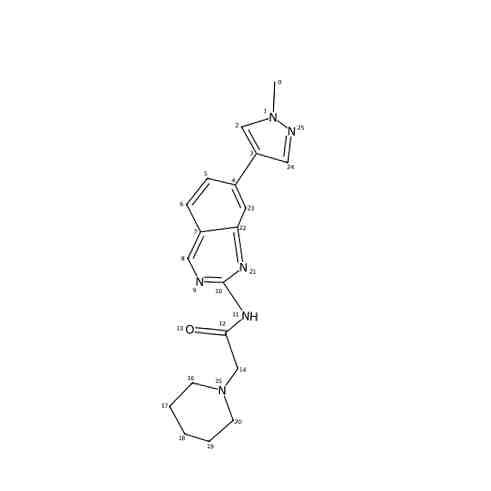 Cn1cc(-c2ccc3cnc(NC(=O)CN4CCCCC4)nc3c2)cn1